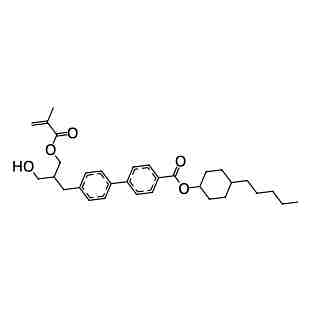 C=C(C)C(=O)OCC(CO)Cc1ccc(-c2ccc(C(=O)OC3CCC(CCCCC)CC3)cc2)cc1